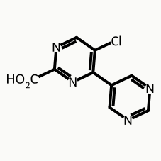 O=C(O)c1ncc(Cl)c(-c2cncnc2)n1